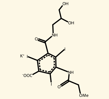 COCC(=O)Nc1c(I)c(C(=O)[O-])c(I)c(C(=O)NCC(O)CO)c1I.[K+]